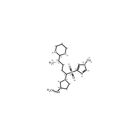 CN[C@@H]1CCN(C(CC[C@H](C)C2OCCCO2)S(=O)(=O)c2cn(C)cn2)C1